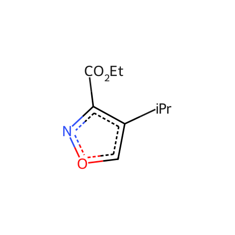 CCOC(=O)c1nocc1C(C)C